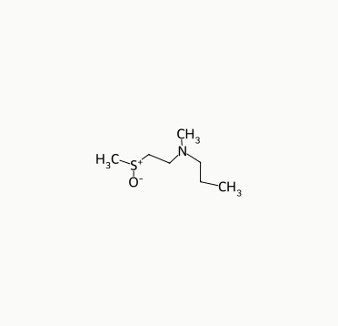 CCCN(C)CC[S+](C)[O-]